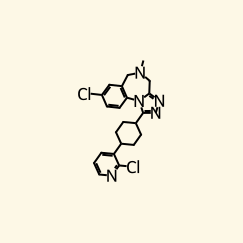 CN1Cc2cc(Cl)ccc2-n2c(nnc2C2CCC(c3cccnc3Cl)CC2)C1